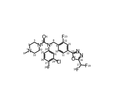 CN1CCN(C(=O)N(Cc2ccc(-c3nnc(C(F)F)o3)cc2F)c2ccc(F)c(Cl)c2)CC1